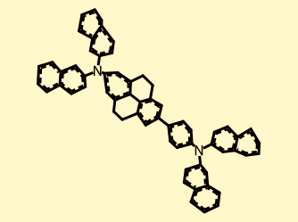 c1ccc2cc(N(c3ccc(-c4cc5c6c(c4)CCc4cc(N(c7ccc8ccccc8c7)c7ccc8ccccc8c7)cc(c4-6)CC5)cc3)c3ccc4ccccc4c3)ccc2c1